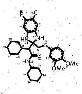 COc1ccc(SCC2(C(C(=O)NC3CCCCC3)C3CCCCC3)Nc3cc(F)c(Cl)cc3N2)cc1OC